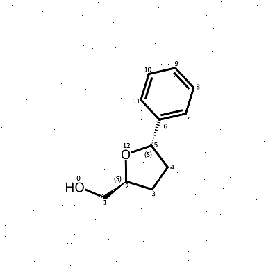 OC[C@@H]1CC[C@@H](c2ccccc2)O1